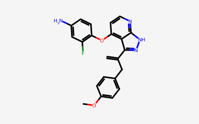 C=C(Cc1ccc(OC)cc1)c1n[nH]c2nccc(Oc3ccc(N)cc3F)c12